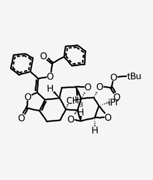 CC(C)[C@]12O[C@H]1[C@@H]1O[C@]13[C@]1(O[C@H]1C[C@H]1C4=C(CC[C@@]13C)C(=O)O/C4=C(/OC(=O)c1ccccc1)c1ccccc1)[C@@H]2OC(=O)OC(C)(C)C